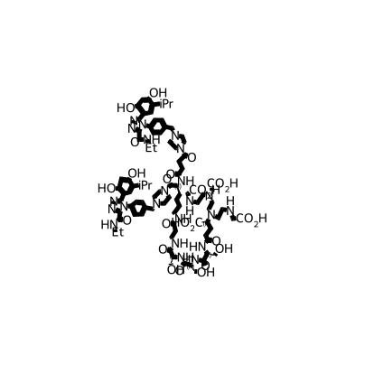 CCNC(=O)c1nnc(-c2cc(C(C)C)c(O)cc2O)n1-c1ccc(CN2CCN(C(=O)CCC(=O)N[C@@H](CCCCNC(=O)CCNC(=O)[C@@H](CO)NC(=O)[C@@H](CO)NC(=O)[C@@H](CO)NC(=O)CC[C@H](C(=O)O)N(CCNCC(=O)O)CCN(CCNCC(=O)O)CC(=O)O)C(=O)N3CCN(Cc4ccc(-n5c(C(=O)NCC)nnc5-c5cc(C(C)C)c(O)cc5O)cc4)CC3)CC2)cc1